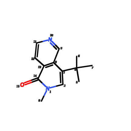 Cn1cc(C(C)(C)C)c2cnccc2c1=O